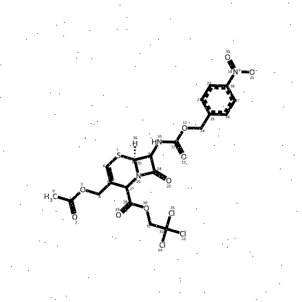 CC(=O)OCC1=CS[C@H]2C(NC(=O)OCc3ccc([N+](=O)[O-])cc3)C(=O)N2C1C(=O)OCC(Cl)(Cl)Cl